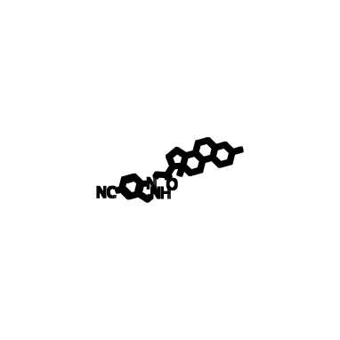 CC1CCC2C(CCC3C2CCC2(C)C(C(=O)CN4NCc5cc(C#N)ccc54)CCC32)C1